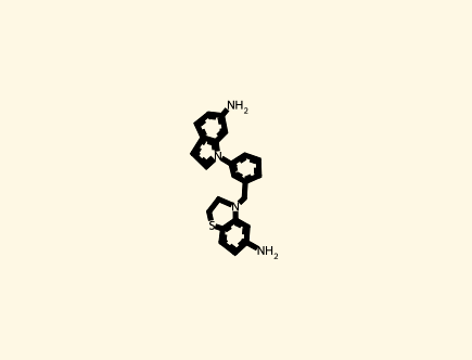 Nc1ccc2c(c1)N(Cc1cccc(-n3ccc4ccc(N)cc43)c1)CCS2